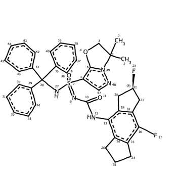 CC1(C)COc2c(S(=O)(=NC(=O)Nc3c4c(c(F)c5c3C[C@@H](F)C5)CCC4)NC(c3ccccc3)(c3ccccc3)c3ccccc3)cnn21